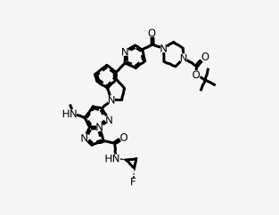 CNc1cc(N2CCc3c(-c4ccc(C(=O)N5CCN(C(=O)OC(C)(C)C)CC5)cn4)cccc32)nn2c(C(=O)N[C@@H]3C[C@@H]3F)cnc12